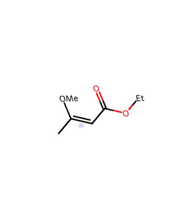 CCOC(=O)/C=C(/C)OC